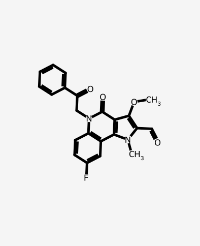 COc1c(C=O)n(C)c2c1c(=O)n(CC(=O)c1ccccc1)c1ccc(F)cc21